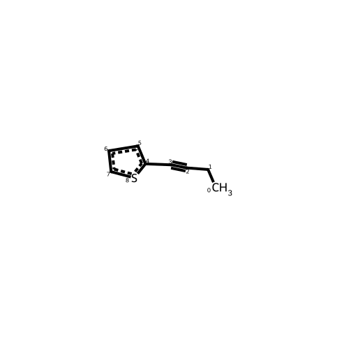 CCC#Cc1cccs1